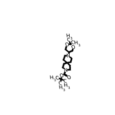 CC(C)(C)OC(=O)N1CCC2(CC1)CCN(C1COC(C)(C)OC1)CC2